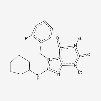 CCn1c(=O)c2c(nc(NC3CCCCC3)n2Cc2ccccc2F)n(CC)c1=O